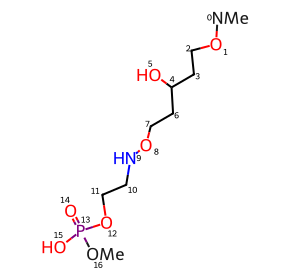 CNOCCC(O)CCONCCOP(=O)(O)OC